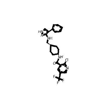 O=C(N[C@H]1CC[C@H](CNc2n[nH]cc2-c2ccccc2)CC1)c1cc(C(F)(F)F)cnc1Cl